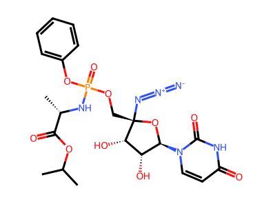 CC(C)OC(=O)[C@H](C)NP(=O)(OC[C@@]1(N=[N+]=[N-])O[C@@H](n2ccc(=O)[nH]c2=O)[C@H](O)[C@@H]1O)Oc1ccccc1